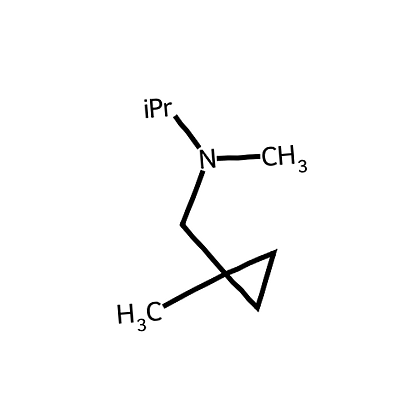 CC(C)N(C)CC1(C)CC1